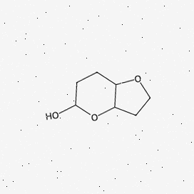 OC1CCC2OCCC2O1